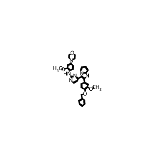 COc1cc(N2CCOCC2)ccc1Nc1nccc(-c2c(-c3ccc(OCc4ccccc4)c(OC)c3)nc3ccccn23)n1